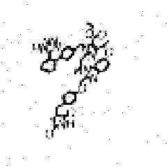 CCCc1nc(C(C)Oc2ccc3nc(COc4ccc(CC5SC(=O)NC5=O)cc4)[nH]c3c2)c(C(=O)OCC)n1Cc1ccc(-c2ccccc2-c2nnn[nH]2)cc1